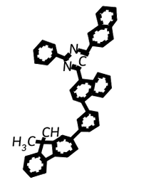 CC1(C)c2ccccc2-c2ccc(-c3cccc(-c4ccc(-c5cc(-c6ccc7ccccc7c6)nc(-c6ccccc6)n5)c5ccccc45)c3)cc21